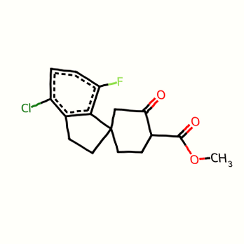 COC(=O)C1CCC2(CCc3c(Cl)ccc(F)c32)CC1=O